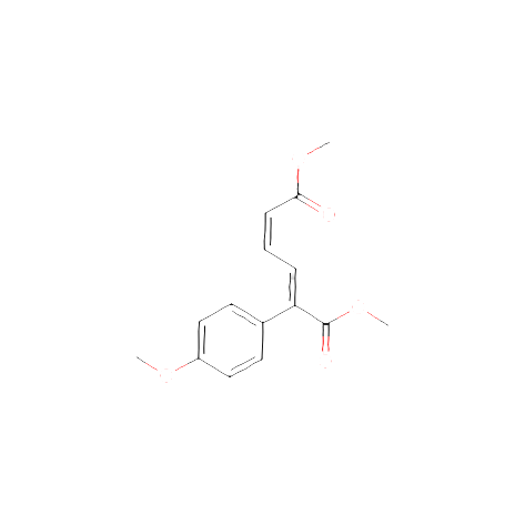 COC(=O)/C=C\C=C(\C(=O)OC)c1ccc(OC)cc1